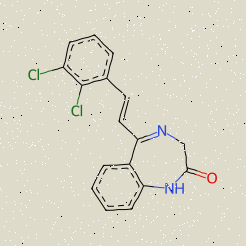 O=C1CN=C(/C=C/c2cccc(Cl)c2Cl)c2ccccc2N1